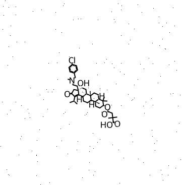 CC(C)C1=C2[C@H]3CC[C@@H]4[C@@]5(C)CCC(OC(=O)CC(C)(C)C(=O)O)C(C)(C)[C@@H]5CC[C@@]4(C)[C@]3(C)CC[C@@]2([C@@H](O)CN(C)Cc2ccc(Cl)cc2)CC1=O